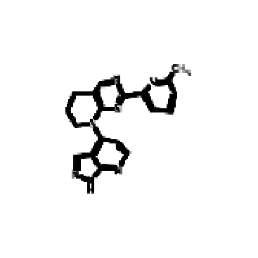 Cc1cccc(-c2ncc3c(n2)N(c2ccnc4[nH]ncc24)CCC3)n1